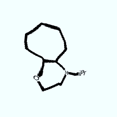 CC(C)N1CCOC2CCCCCC21